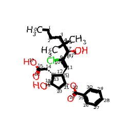 CCCCC(C)(C)[C@@H](O)C(Cl)=C[C@@H]1[C@@H](CC(=O)O)[C@@H](O)C[C@H]1OC(=O)c1ccccc1